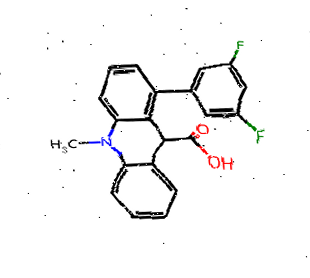 CN1c2ccccc2C(C(=O)O)c2c(-c3cc(F)cc(F)c3)cccc21